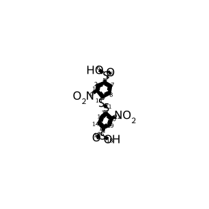 O=[N+]([O-])c1cc(S(=O)O)ccc1SSc1ccc(S(=O)O)cc1[N+](=O)[O-]